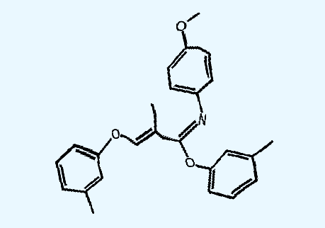 COc1ccc(/N=C(Oc2cccc(C)c2)\C(C)=C\Oc2cccc(C)c2)cc1